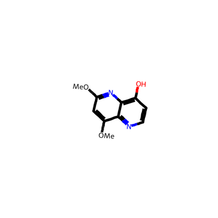 COc1cc(OC)c2nccc(O)c2n1